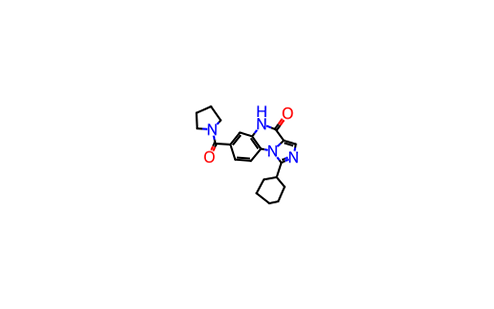 O=C(c1ccc2c(c1)[nH]c(=O)c1cnc(C3CCCCC3)n12)N1CCCC1